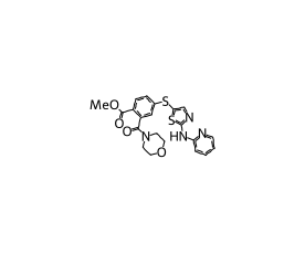 COC(=O)c1ccc(Sc2cnc(Nc3ccccn3)s2)cc1C(=O)N1CCOCC1